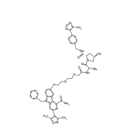 Cc1ncsc1-c1ccc(CNC(=O)[C@@H]2C[C@@H](O)CN2C(=O)C(NC(=O)COCCOCCOc2ccc3c(c2)c2c(C(N)=O)cc(-c4c(C)noc4C)cc2n3Cc2ccccc2)C(C)(C)C)cc1